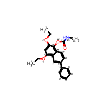 CCOc1cc(OCC)c2cc(-c3ccccc3)ccc2c1OC(=O)NC